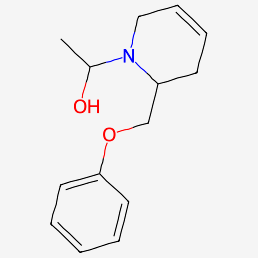 CC(O)N1CC=CCC1COc1ccccc1